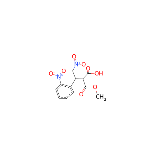 COC(=O)C(C(=O)O)C(C[N+](=O)[O-])c1ccccc1[N+](=O)[O-]